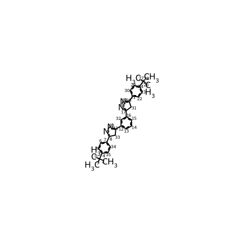 CC(C)(C)c1ccc(C2=NN=C(c3cccc(C4=NN=C(c5ccc(C(C)(C)C)cc5)C4)c3)C2)cc1